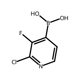 OB(O)c1ccnc(Cl)c1F